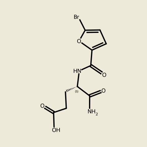 NC(=O)[C@H](CCC(=O)O)NC(=O)c1ccc(Br)o1